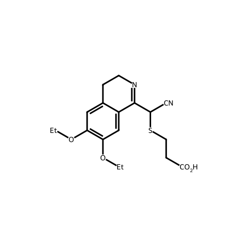 CCOc1cc2c(cc1OCC)C(C(C#N)SCCC(=O)O)=NCC2